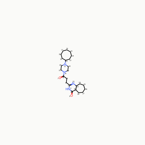 O=C1NC(CCC(=O)N2CCN(C3CCCCCCC3)CC2)=NC2CCCCCC12